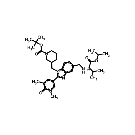 Cc1cc(-c2nc3cc(CN[C@H](C(=O)OC(C)C)C(C)C)ccc3n2CC2CCCN(C(=O)OC(C)(C)C)C2)cn(C)c1=O